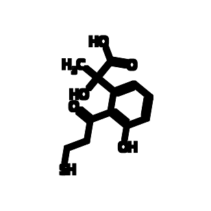 CC(O)(C(=O)O)c1cccc(O)c1C(=O)CCS